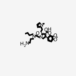 CCCCN(CCCN)C(=O)CN1C[C@H](c2ccc3c(c2)OCO3)[C@@H](C(=O)O)[C@@H]1CCc1cccn1C